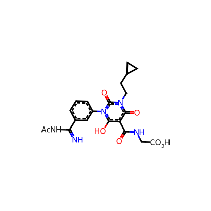 CC(=O)NC(=N)c1cccc(-n2c(O)c(C(=O)NCC(=O)O)c(=O)n(CCC3CC3)c2=O)c1